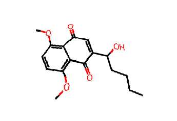 CCCCC(O)C1=CC(=O)c2c(OC)ccc(OC)c2C1=O